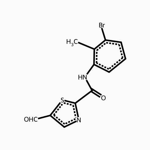 Cc1c(Br)cccc1NC(=O)c1ncc(C=O)s1